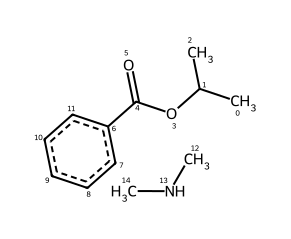 CC(C)OC(=O)c1ccccc1.CNC